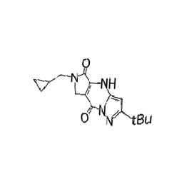 CC(C)(C)c1cc2[nH]c3c(c(=O)n2n1)CN(CC1CC1)C3=O